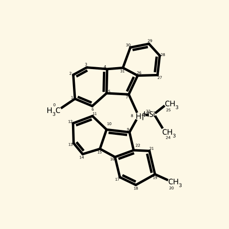 Cc1ccc2c(c1)[C]([Hf]([C]1=C3C=CC=CC3c3ccc(C)cc31)[SiH](C)C)=C1C=CC=CC12